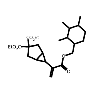 C=C(C(=O)OCC1CCC(C)C(C)C1C)C1C2CC(C(=O)OCC)(C(=O)OCC)CC21